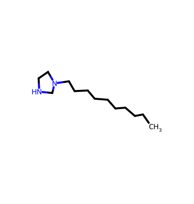 CCCCCCCCCCN1CCNC1